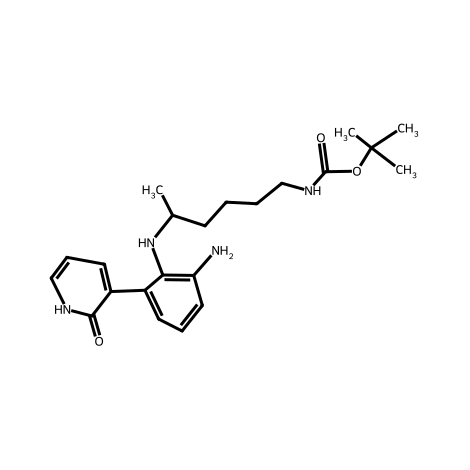 CC(CCCCNC(=O)OC(C)(C)C)Nc1c(N)cccc1-c1ccc[nH]c1=O